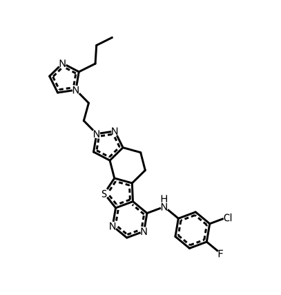 CCCc1nccn1CCn1cc2c(n1)CCc1c-2sc2ncnc(Nc3ccc(F)c(Cl)c3)c12